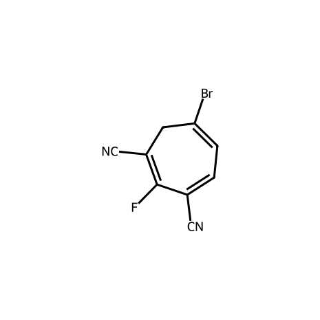 N#CC1=CC=C(Br)CC(C#N)=C1F